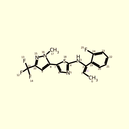 C/C=C(/Nc1ncc(-c2cc(C(F)(F)F)nn2C)s1)c1ccccc1F